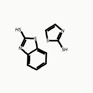 Sc1nc2ccccc2s1.Sc1nccs1